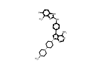 Cc1c(F)ccc2[nH]c(Nc3ccc(-c4cn([C@H]5CC[C@@H](N6CCN(C)CC6)CC5)c5ncnc(N)c45)cc3)nc12